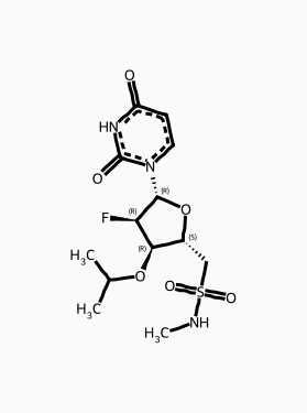 CNS(=O)(=O)C[C@H]1O[C@@H](n2ccc(=O)[nH]c2=O)[C@H](F)[C@@H]1OC(C)C